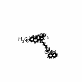 COc1ccc2c(c1)CC[C@H]1[C@@H]3[C@H](CCCCCOC(=O)Nc4cccc5ccccc45)CC(=O)[C@@]3(C)CC[C@H]21